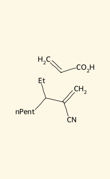 C=C(C#N)C(CC)CCCCC.C=CC(=O)O